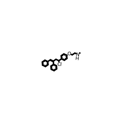 CNCCOc1ccc(C(Cl)CC(=Cc2ccccc2)c2ccccc2)cc1